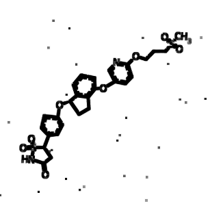 CS(=O)(=O)CCCOc1ccc(Oc2cccc3c2CC[C@H]3Oc2ccc(C3CC(=O)NS3(=O)=O)cc2)cn1